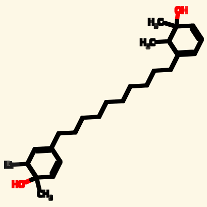 CCC1C=C(CCCCCCCCCCC2=CC=CC(C)(O)C2C)C=CC1(C)O